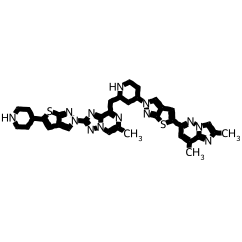 Cc1cn2nc(-n3cc4cc(C5CCNCC5)sc4n3)nc2c(CC2CC(n3cc4cc(-c5cc(C)c6nc(C)cn6n5)sc4n3)CCN2)n1